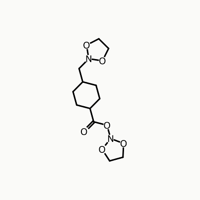 O=C(ON1OCCO1)C1CCC(CN2OCCO2)CC1